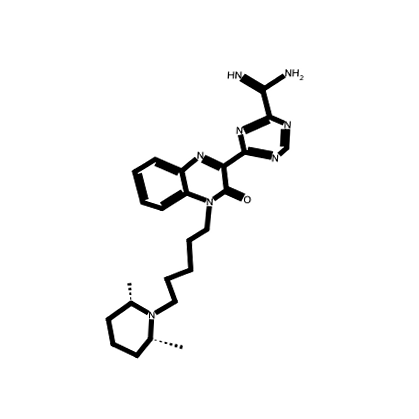 C[C@@H]1CCC[C@H](C)N1CCCCCn1c(=O)c(-c2ncnc(C(=N)N)n2)nc2ccccc21